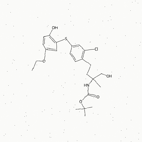 CCOc1ccc(O)c(Sc2ccc(CCC(C)(CO)NC(=O)OC(C)(C)C)c(Cl)c2)c1